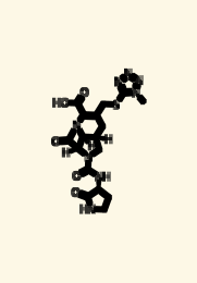 Cn1nnnc1SCC1=C(C(=O)O)N2C(=O)[C@@H]3[C@H]2[C@H](C1)CN3C(=O)N[C@H]1CCNC1=O